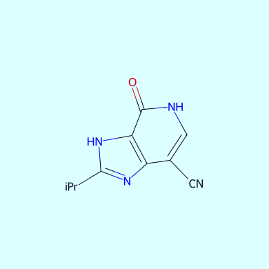 CC(C)c1nc2c(C#N)c[nH]c(=O)c2[nH]1